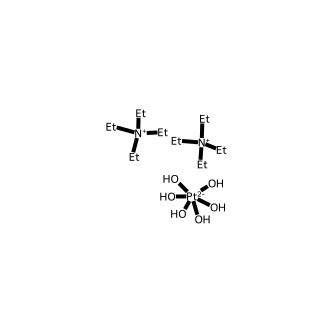 CC[N+](CC)(CC)CC.CC[N+](CC)(CC)CC.[OH][Pt-2]([OH])([OH])([OH])([OH])[OH]